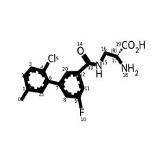 Cc1ccc(Cl)c(-c2cc(F)cc(C(=O)NC[C@@H](N)C(=O)O)c2)c1